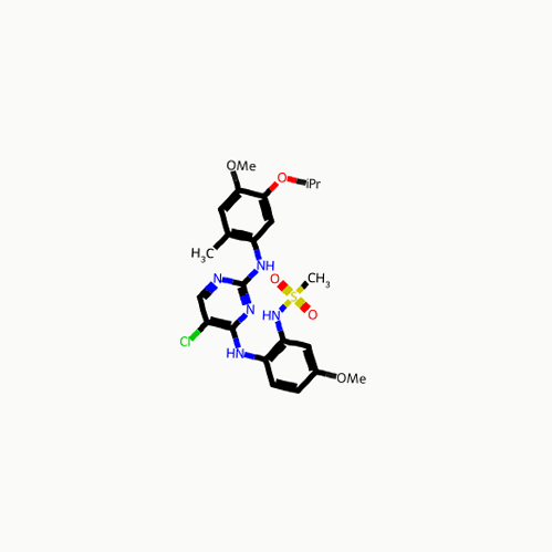 COc1ccc(Nc2nc(Nc3cc(OC(C)C)c(OC)cc3C)ncc2Cl)c(NS(C)(=O)=O)c1